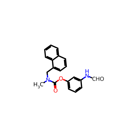 CN(Cc1cccc2ccccc12)C(=O)Oc1cccc(NC=O)c1